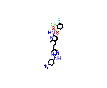 Cc1nc(NS(=O)(=O)c2cccc(F)c2Cl)ccc1/C=C/c1cnc(NC2CCC(N(C)C)CC2)nc1